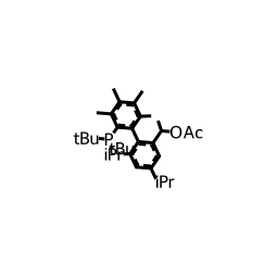 CC(=O)OC(C)c1cc(C(C)C)cc(C(C)C)c1-c1c(C)c(C)c(C)c(C)c1P(C(C)(C)C)C(C)(C)C